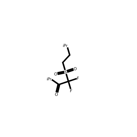 CC(C)CCS(=O)(=O)C(F)(F)C(=O)C(C)C